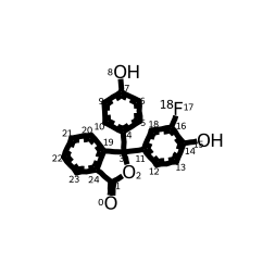 O=C1OC(c2ccc(O)cc2)(c2ccc(O)c([18F])c2)c2ccccc21